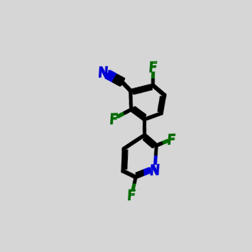 N#Cc1c(F)ccc(-c2ccc(F)nc2F)c1F